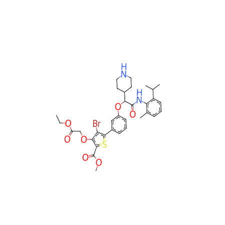 CCOC(=O)COc1c(C(=O)OC)sc(-c2cccc(OC(C(=O)Nc3c(C)cccc3C(C)C)C3CCNCC3)c2)c1Br